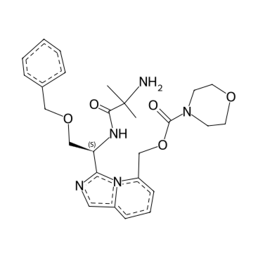 CC(C)(N)C(=O)N[C@H](COCc1ccccc1)c1ncc2cccc(COC(=O)N3CCOCC3)n12